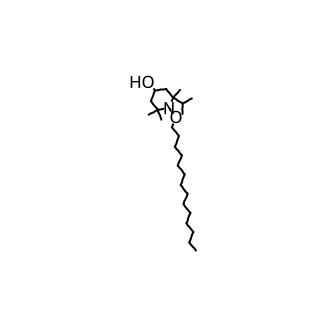 CCCCCCCCCCCCCCON1C(C)(C)CC(O)CC1(C)C(C)C